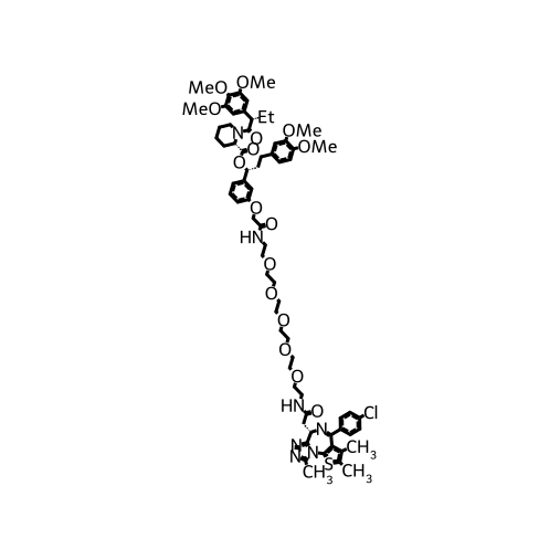 CC[C@H](C(=O)N1CCCC[C@H]1C(=O)O[C@H](CCc1ccc(OC)c(OC)c1)c1cccc(OCC(=O)NCCOCCOCCOCCOCCOCCNC(=O)C[C@@H]2N=C(c3ccc(Cl)cc3)c3c(sc(C)c3C)-n3c(C)nnc32)c1)c1cc(OC)c(OC)c(OC)c1